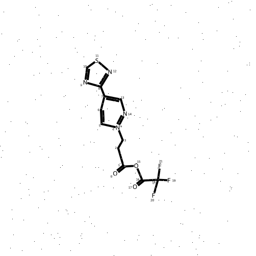 O=C(CC[n+]1ccc(-c2ncsn2)cn1)OC(=O)C(F)(F)F